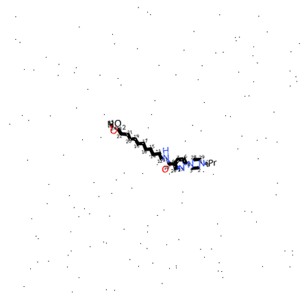 CC(C)N1CCN(c2ccc(C(=O)NCCCCCCCCCCCCO[N+](=O)[O-])cn2)CC1